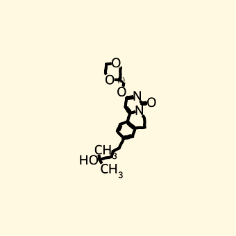 CC(C)(O)CCCc1ccc2c(c1)CCn1c-2cc(OC[C@@H]2COCCO2)nc1=O